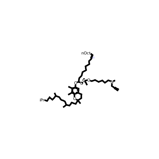 C#CCN(C)CCCCCCO[Si](C)(C)OC(CCCCCCC/C=C\CCCCCCCC)Oc1cc2c(c(C)c1C)OC(C)(CCCC(C)CCCC(C)CCCC(C)C)CC2